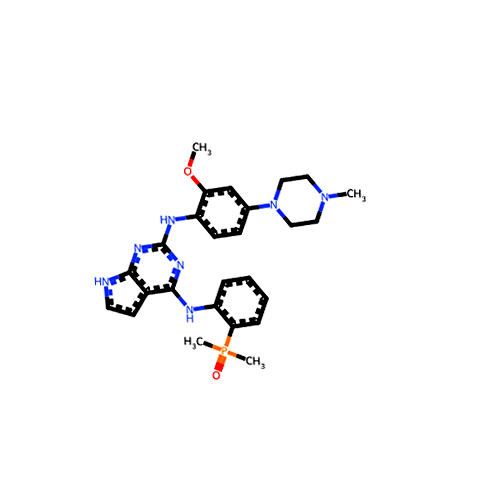 COc1cc(N2CCN(C)CC2)ccc1Nc1nc(Nc2ccccc2P(C)(C)=O)c2cc[nH]c2n1